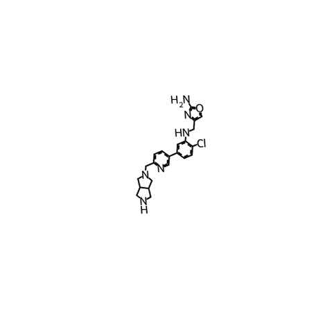 Nc1nc(CNc2cc(-c3ccc(CN4CC5CNCC5C4)nc3)ccc2Cl)co1